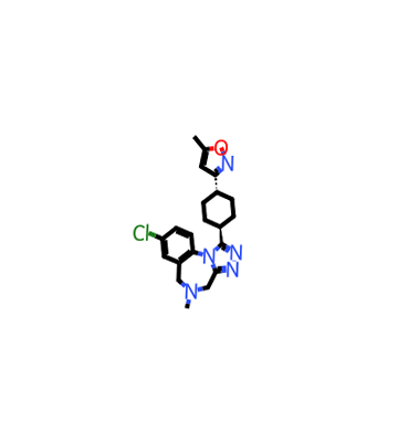 Cc1cc([C@H]2CC[C@H](c3nnc4n3-c3ccc(Cl)cc3CN(C)C4)CC2)no1